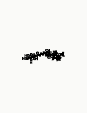 Cc1cc(COC2(c3cnccc3-c3ccccc3OC3CC3)CC2)c(Cl)cc1CCCCC(=O)NCC(O)C(O)C(O)C(O)CO